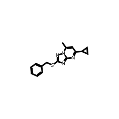 Cc1cc(C2CC2)nc2nc(SCc3ccccc3)nn12